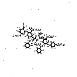 COC(=O)C1O[C@@H](O[C@@H]2C(COC(C)=O)O[C@@H](O[C@@H]3C(C(=O)OC)O[C@@H](Oc4ccc(OC)cc4)C(OC(=O)c4ccccc4)[C@H]3C)C(N)[C@H]2C)C(OC(=O)c2ccccc2)[C@@H](C)[C@@H]1O[C@@H]1OC(COC(C)=O)[C@@H](C)[C@H](C)C1N